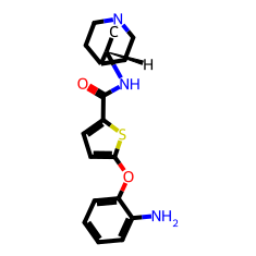 Nc1ccccc1Oc1ccc(C(=O)N[C@H]2CN3CCC2CC3)s1